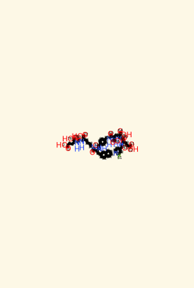 O=C(O)CCC(NC(=O)NC(CCCCNC(=O)C(Cc1ccc2ccccc2c1)NC(=O)c1ccc(CNC(=O)C(CC(NC(=O)C(CCC(=O)O)NC(=O)c2ccnc(F)c2)C(=O)O)C(=O)O)cc1)C(=O)O)C(=O)O